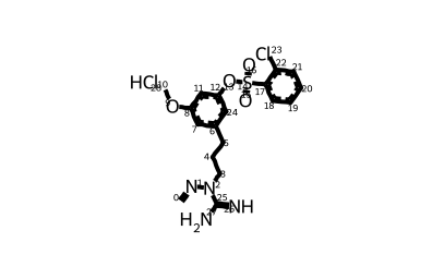 C=NN(CCCc1cc(OC)cc(OS(=O)(=O)c2ccccc2Cl)c1)C(=N)N.Cl